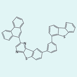 c1cc(-c2ccc3sc4ncc(-c5cc6ccccc6c6ccccc56)nc4c3c2)cc(-c2cccc3c2sc2ccccc23)c1